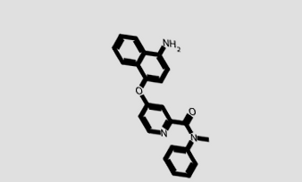 CN(C(=O)c1cc(Oc2ccc(N)c3ccccc23)ccn1)c1ccccc1